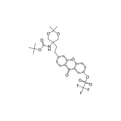 CC(C)(C)OC(=O)NC1(CCc2ccc3c(=O)c4cc(OS(=O)(=O)C(F)(F)F)ccc4oc3c2)COC(C)(C)OC1